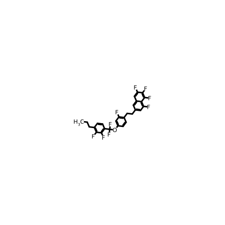 CCCc1ccc(C(F)(F)Oc2ccc(CCc3cc(F)c4c(F)c(F)c(F)cc4c3)c(F)c2)c(F)c1F